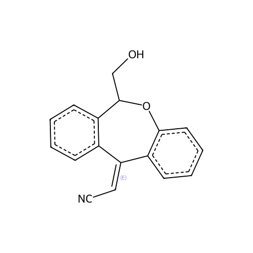 N#C/C=C1/c2ccccc2OC(CO)c2ccccc21